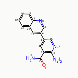 NC(=O)c1cc(-c2cnc3ccccc3c2)cnc1N